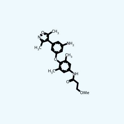 COCCC(=O)Nc1cc(C)c(Oc2cc(N)cc(-c3c(C)noc3C)c2)c(C)c1